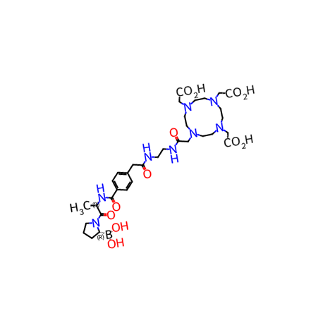 C[C@@H](NC(=O)c1ccc(CC(=O)NCCNC(=O)CN2CCN(CC(=O)O)CCN(CC(=O)O)CCN(CC(=O)O)CC2)cc1)C(=O)N1CCC[C@H]1B(O)O